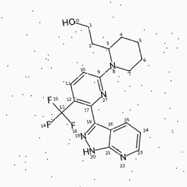 OCCC1CCCCN1c1ccc(C(F)(F)F)c(-c2n[nH]c3ncccc23)n1